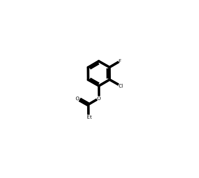 CCC(=O)Oc1cccc(F)c1Cl